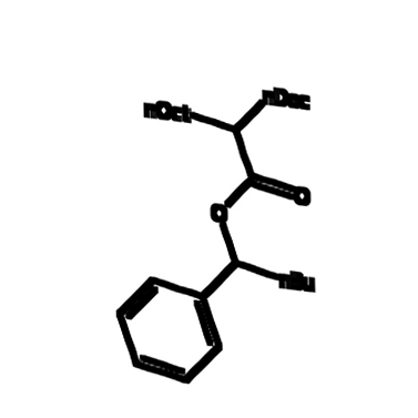 CCCCCCCCCCC(CCCCCCCC)C(=O)OC(CCCC)c1ccccc1